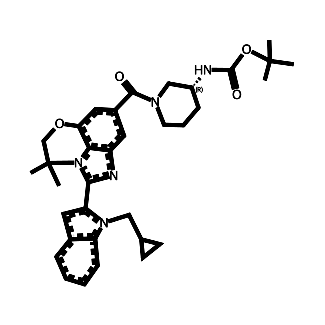 CC(C)(C)OC(=O)N[C@@H]1CCCN(C(=O)c2cc3c4c(c2)nc(-c2cc5ccccc5n2CC2CC2)n4C(C)(C)CO3)C1